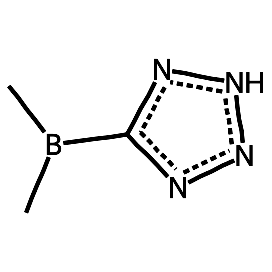 CB(C)c1nn[nH]n1